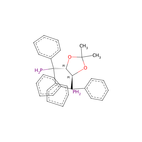 CC1(C)O[C@@H](C(P)(c2ccccc2)c2ccccc2)[C@H](C(P)(c2ccccc2)c2ccccc2)O1